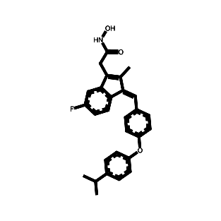 CC1=C(CC(=O)NO)c2cc(F)ccc2/C1=C\c1ccc(Oc2ccc(C(C)C)cc2)cc1